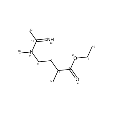 CCOC(=O)C(C)CCN(C)C(C)=N